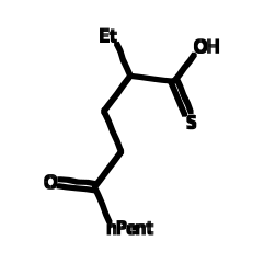 CCCCCC(=O)CCC(CC)C(O)=S